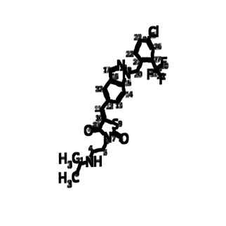 CC(C)NCCN1C(=O)S/C(=C\c2ccc3c(cnn3Cc3ccc(Cl)cc3C(F)(F)F)c2)C1=O